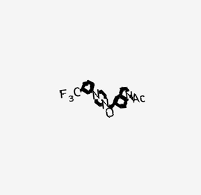 CC(=O)N1CCc2cc(C(=O)N3CCN(c4cccc(C(F)(F)F)c4)CC3)ccc21